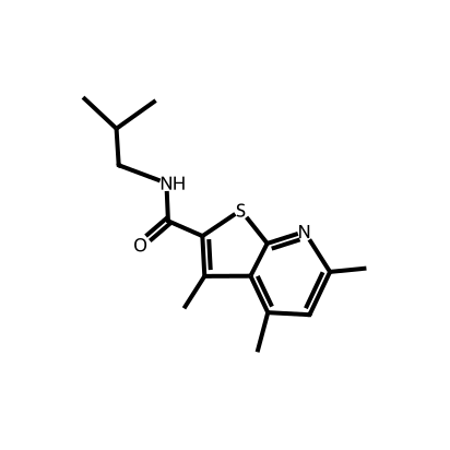 Cc1cc(C)c2c(C)c(C(=O)NCC(C)C)sc2n1